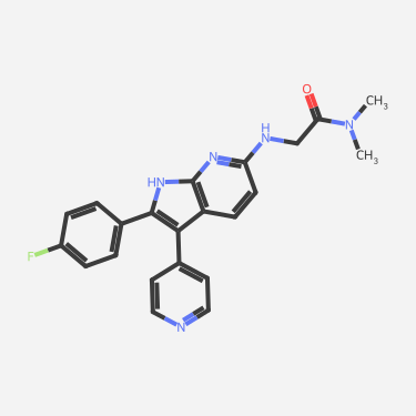 CN(C)C(=O)CNc1ccc2c(-c3ccncc3)c(-c3ccc(F)cc3)[nH]c2n1